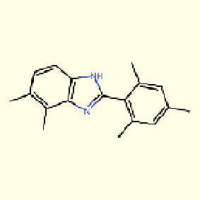 Cc1cc(C)c(-c2nc3c(C)c(C)ccc3[nH]2)c(C)c1